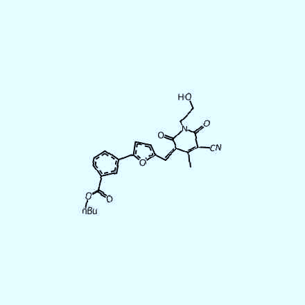 CCCCOC(=O)c1cccc(-c2ccc(/C=C3\C(=O)N(CCO)C(=O)C(C#N)=C3C)o2)c1